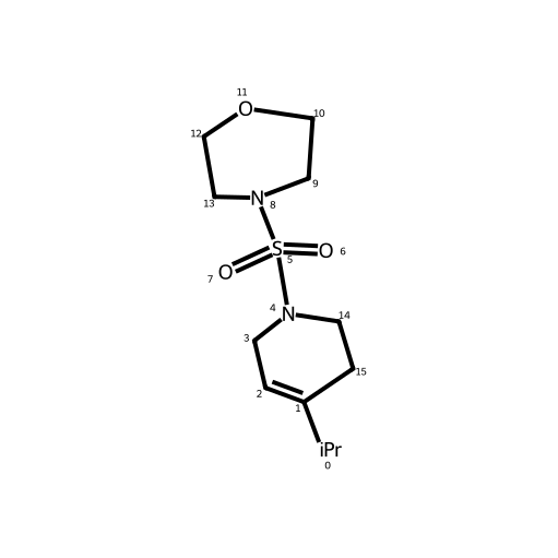 CC(C)C1=CCN(S(=O)(=O)N2CCOCC2)CC1